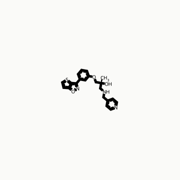 C[C@@](O)(CNCc1ccncc1)COc1cccc(-c2noc3ccsc23)c1